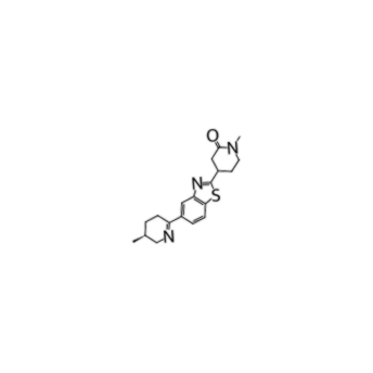 C[C@H]1CCC(c2ccc3sc(C4CCN(C)C(=O)C4)nc3c2)=NC1